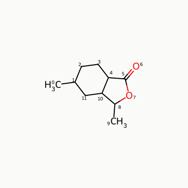 CC1CCC2C(=O)OC(C)C2C1